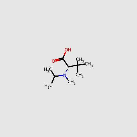 CC(C)N(C)[C@H](C(=O)O)C(C)(C)C